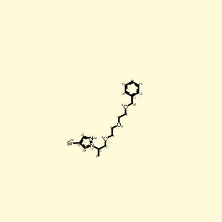 CC(COCCOCCOCc1ccccc1)n1cc(Br)cn1